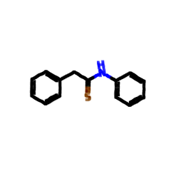 S=C(Cc1ccccc1)Nc1ccccc1